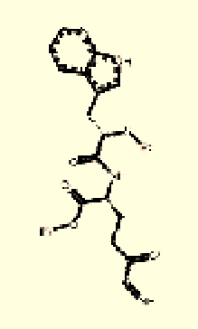 CCS[C@@H](Cc1c[nH]c2ncccc12)C(=O)N[C@@H](CCC(=O)C=N)C(=O)OC(C)C